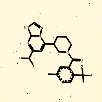 Cc1cc(C(=O)N2CCCC(C3=CC(C(F)F)=NC4NC=NN34)C2)c(C(F)(F)F)cn1